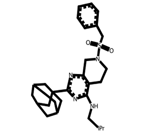 CC(C)CNc1nc(C23CC4CC(CC(C4)C2)C3)nc2c1CCN(S(=O)(=O)Cc1ccccc1)C2